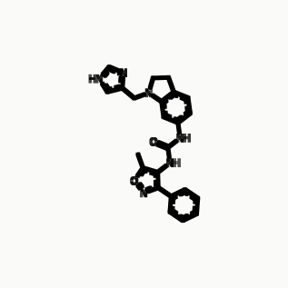 Cc1onc(-c2ccccc2)c1NC(=O)Nc1ccc2c(c1)N(Cc1c[nH]cn1)CC2